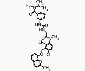 Cc1ccc2cccc(OCc3c(Cl)ccc(N(C)C(=O)CNC(=O)Nc4cccc(C(=O)N(C)C(C)C)c4)c3Cl)c2n1